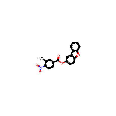 Cc1cc(C(=O)Oc2ccc3oc4ccccc4c3c2)ccc1[N+](=O)[O-]